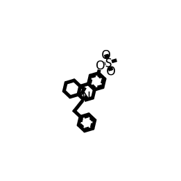 CS(=O)(=O)Oc1ccc2c(c1)C13CCCCC1C(C2)N(Cc1ccccc1)CC3